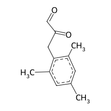 Cc1cc(C)c(CC(=O)C=O)c(C)c1